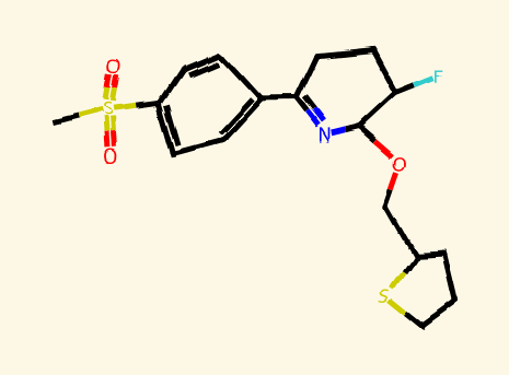 CS(=O)(=O)c1ccc(C2=NC(OCC3CCCS3)C(F)CC2)cc1